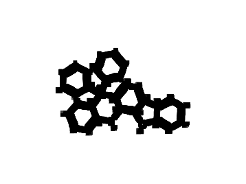 c1ccc([Si]2(c3ccccc3)c3ccccc3Sc3c2ccc2c3oc3ccccc32)cc1